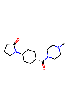 CN1CCN(C(=O)[C@H]2CC[C@H](N3CCCC3=O)CC2)CC1